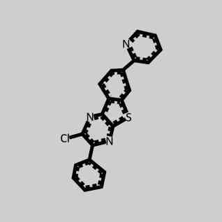 Clc1nc2c(nc1-c1ccccc1)sc1cc(-c3ccccn3)ccc12